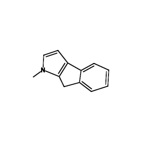 Cn1ccc2c1Cc1ccccc1-2